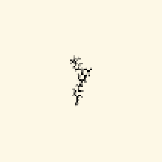 Cc1cc(N2CC[C@@H](S(C)(=O)=O)C2)c2ccc(OCc3ccc(C#N)cc3)cc2n1